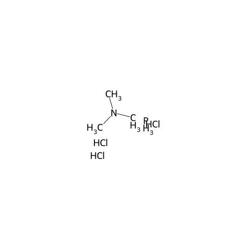 CN(C)C.Cl.Cl.Cl.P